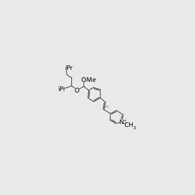 COC(OC(CCC(C)C)C(C)C)c1ccc(/C=C/c2cc[n+](C)cc2)cc1